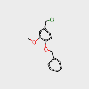 COc1cc(CCl)ccc1OCc1ccccc1